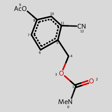 CNC(=O)OCc1ccc(OC(C)=O)cc1C#N